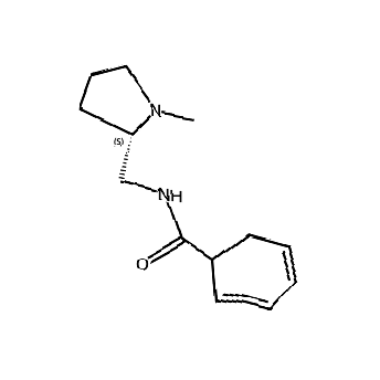 CN1CCC[C@H]1CNC(=O)C1C=CC=CC1